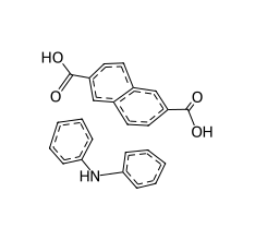 O=C(O)c1ccc2cc(C(=O)O)ccc2c1.c1ccc(Nc2ccccc2)cc1